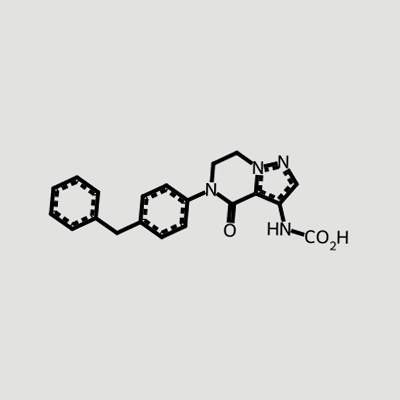 O=C(O)Nc1cnn2c1C(=O)N(c1ccc(Cc3ccccc3)cc1)CC2